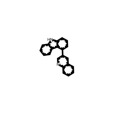 c1ccc2ncc(-c3cccc4[nH]c5ccccc5c34)cc2c1